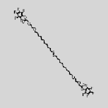 O=C(COCCOCCCCCCCCCCCSSCCCCCCCCCCCOCCOCC(=O)Oc1c(F)c(F)c(F)c(F)c1F)Oc1c(F)c(F)c(F)c(F)c1F